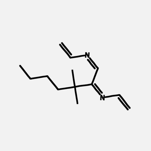 C=C/N=C\C(=N/C=C)C(C)(C)CCCC